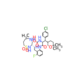 C[C@H]1CCCS(=O)(=O)N[C@@H](CCc2c(F)cccc2NC(=O)[C@@H](NC(=O)O)[C@@H](c2ccc(Cl)cc2)C2CCC(C)(C)OC2)CN1